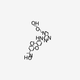 CC(=NO)c1cccc(Oc2ccc(Nc3ncnc4ccn(CCOCCO)c34)cc2Cl)c1